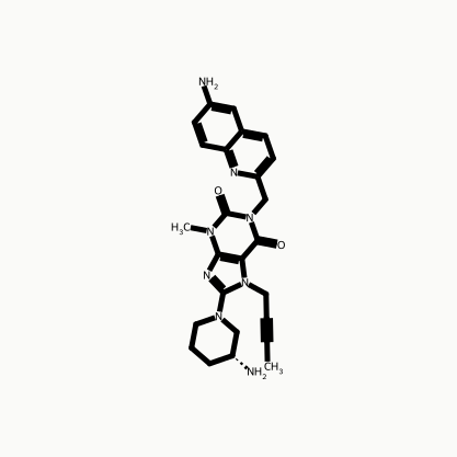 CC#CCn1c(N2CCC[C@@H](N)C2)nc2c1c(=O)n(Cc1ccc3cc(N)ccc3n1)c(=O)n2C